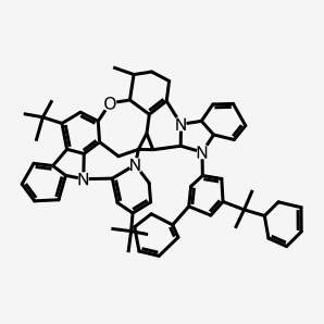 CC1CCC2=C3C1Oc1cc(C(C)(C)C)c4c5ccccc5n5c4c1CC1(C3C1C1N2C2C=CC=CC2N1c1cc(C2=CC=CCC2)cc(C(C)(C)C2C=CC=CC2)c1)N1CC=C(C(C)(C)C)C=C15